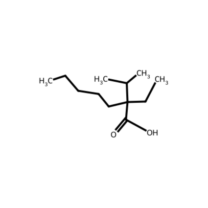 CCCCCC(CC)(C(=O)O)C(C)C